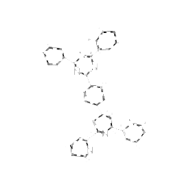 c1ccc(-c2nc(-c3ccccc3)nc(-c3ccc(-c4cc(-c5ccccn5)nc(-c5ccccn5)c4)cc3)n2)cc1